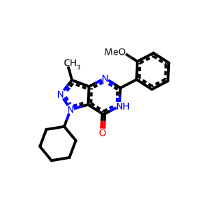 COc1ccccc1-c1nc2c(C)nn(C3CCCCC3)c2c(=O)[nH]1